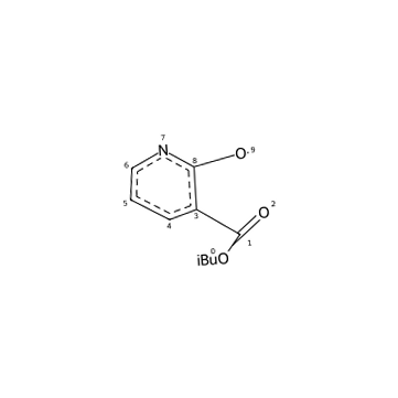 CC(C)COC(=O)c1cccnc1[O]